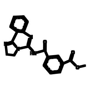 COC(=O)c1cccc(C(=O)NC2=Nc3ccccc3C3=NCCN23)c1